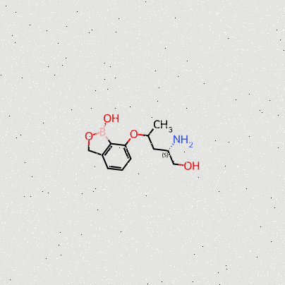 CC(C[C@H](N)CO)Oc1cccc2c1B(O)OC2